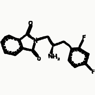 N[C@H](Cc1ccc(F)cc1F)CN1C(=O)c2ccccc2C1=O